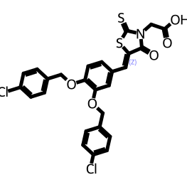 O=C(O)CN1C(=O)/C(=C/c2ccc(OCc3ccc(Cl)cc3)c(OCc3ccc(Cl)cc3)c2)SC1=S